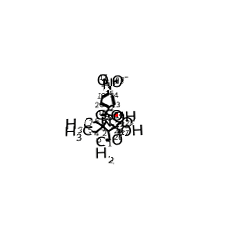 C=CC1C(CC)(CC)N(S(=O)(=O)c2ccc([N+](=O)[O-])cc2)C1(C(=O)O)C(=O)O